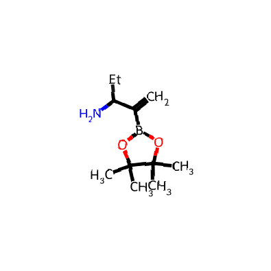 C=C(B1OC(C)(C)C(C)(C)O1)C(N)CC